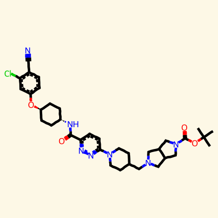 CC(C)(C)OC(=O)N1CC2CN(CC3CCN(c4ccc(C(=O)N[C@H]5CC[C@H](Oc6ccc(C#N)c(Cl)c6)CC5)nn4)CC3)CC2C1